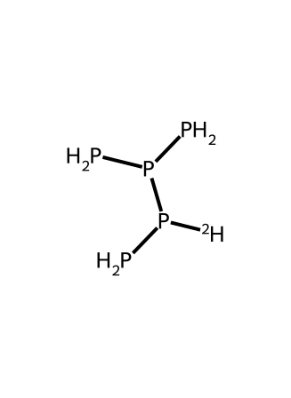 [2H]P(P)P(P)P